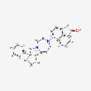 O=C1Cc2ccc(N3CCCN(CC4(c5ccccc5)CCCC4)CC3)c3cccc1c23